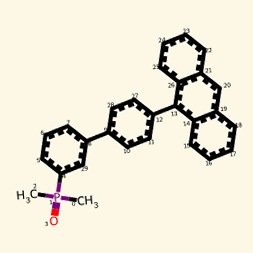 CP(C)(=O)c1cccc(-c2ccc(-c3c4ccccc4cc4ccccc34)cc2)c1